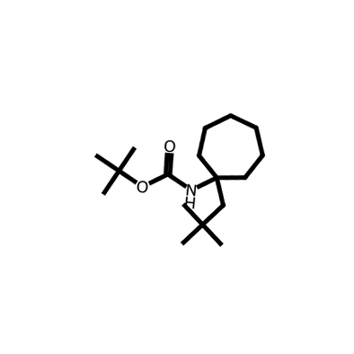 CC(C)(C)CC1(NC(=O)OC(C)(C)C)CCCCCC1